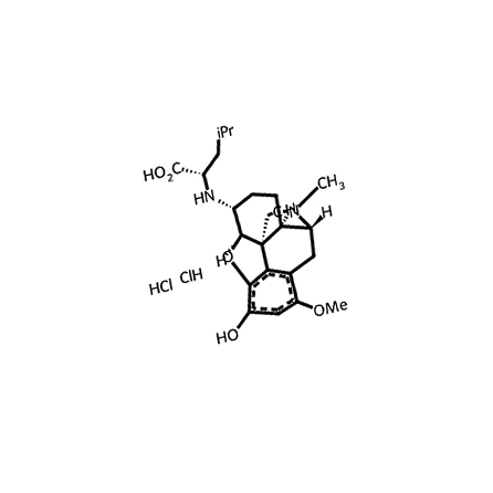 COc1cc(O)c2c3c1C[C@@H]1[C@@H]4CC[C@@H](N[C@@H](CC(C)C)C(=O)O)[C@H](O2)[C@]34CCN1C.Cl.Cl